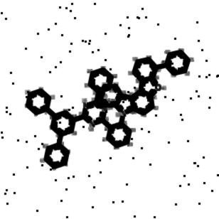 c1ccc(-c2cc(-c3ccccc3)cc(-c3nc(-c4ccccc4)nc(-c4ccccc4-n4c5ccccc5c5c6c(ccc54)oc4c(-c5ccccc5)cccc46)n3)c2)cc1